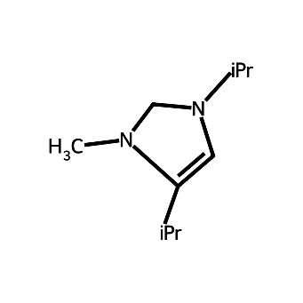 CC(C)C1=CN(C(C)C)CN1C